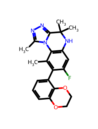 Cc1c(-c2cccc3c2OCCO3)c(F)cc2c1-n1c(C)nnc1C(C)(C)N2